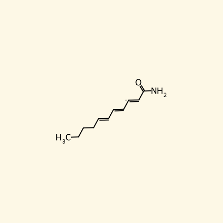 CCCCC=CC=C/[C]=C/C(N)=O